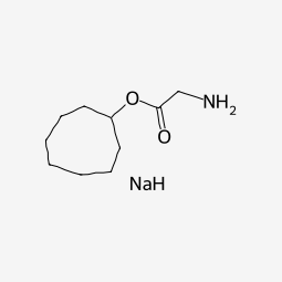 NCC(=O)OC1CCCCCCC1.[NaH]